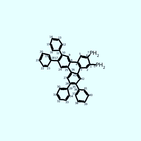 Pc1cc2c(cc1P)c1cc(-c3ccccc3)c(-c3ccccc3)cc1c1cc(-c3ccccc3)c(-c3ccccc3)cc21